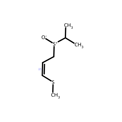 CS/C=C\C[S+]([O-])C(C)C